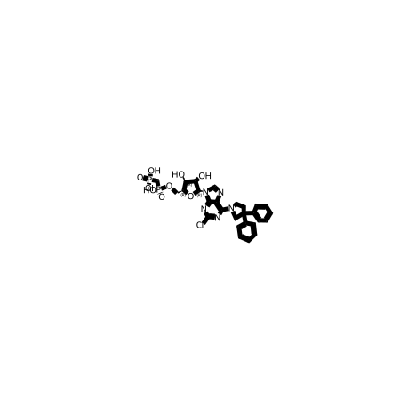 O=P(O)(O)CP(=O)(O)OC[C@H]1O[C@@H](n2cnc3c(N4CCC(c5ccccc5)(c5ccccc5)C4)nc(Cl)nc32)C(O)[C@H]1O